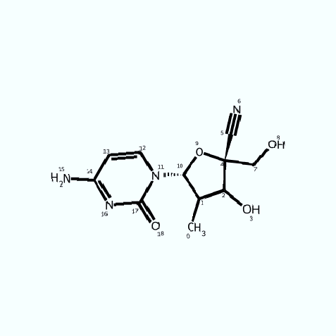 CC1C(O)[C@@](C#N)(CO)O[C@H]1n1ccc(N)nc1=O